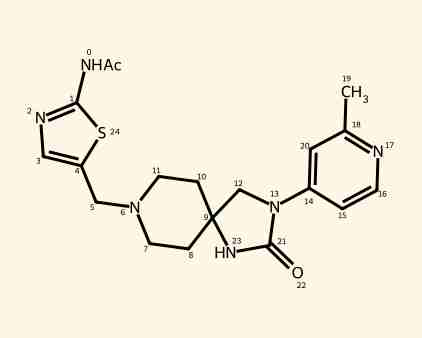 CC(=O)Nc1ncc(CN2CCC3(CC2)CN(c2ccnc(C)c2)C(=O)N3)s1